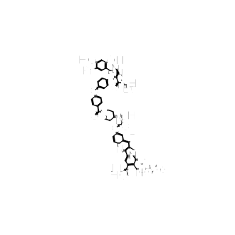 CCNC(=O)c1nnc(-c2cc(C(C)C)c(O)cc2O)n1-c1ccc(Oc2ccc(C(=O)N3CCC(N(C)C(=O)Oc4ccc5nc6c(c(CC)c5c4)Cn4c-6cc(C(O)(C=O)CC)c(COC)c4=O)CC3)cc2)cc1